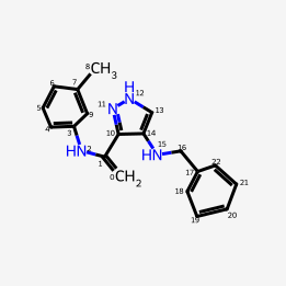 C=C(Nc1cccc(C)c1)c1n[nH]cc1NCc1ccccc1